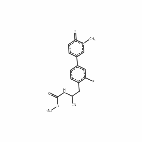 Cn1cc(-c2ccc(CC(C#N)NC(=O)OC(C)(C)C)c(F)c2)ccc1=O